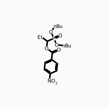 CCCCOP(=O)(OCCCC)C(CC)OC(=O)c1ccc([N+](=O)[O-])cc1